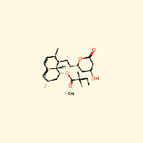 CCC(C)(C)C(=O)O[C@@H]1C[C@H](C)C=C2C=C[C@@H](C)[C@@H](CC[C@@H]3C[C@H](O)CC(=O)O3)[C@@H]21.[KH]